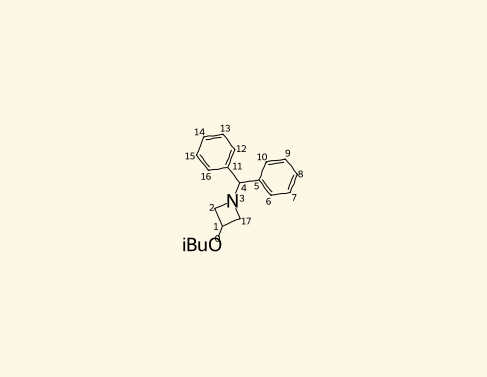 CC(C)COC1CN(C(c2ccccc2)c2ccccc2)C1